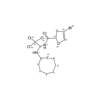 O=C(NC(NC1CCCCCCC1)C(Cl)(Cl)Cl)C1CC(Br)=CO1